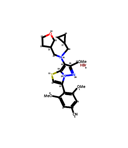 Br.COc1cc(C#N)cc(OC)c1-c1csc2c(N(CC3CC3)CC3CCOC3)c(OC)nn12